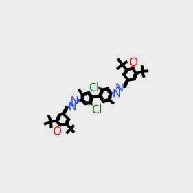 Cc1cc(-c2cc(C)c(/N=N/C=C3C=C(C(C)(C)C)C(=O)C(C(C)(C)C)=C3)cc2Cl)c(Cl)cc1/N=N/C=C1C=C(C(C)(C)C)C(=O)C(C(C)(C)C)=C1